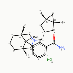 COC1(c2cccc(C(N)=O)c2)[C@@H]2CCC[C@H]1CN(C[C@@H]1C[C@@H]3C[C@@H]3C1)C2.Cl